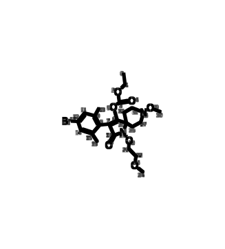 CCOC(=O)OC1=C(c2c(C)cc(Br)cc2C)C(=O)N(OCCOC)C12CCN(OC)CC2